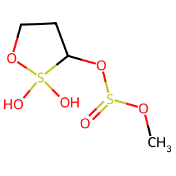 COS(=O)OC1CCOS1(O)O